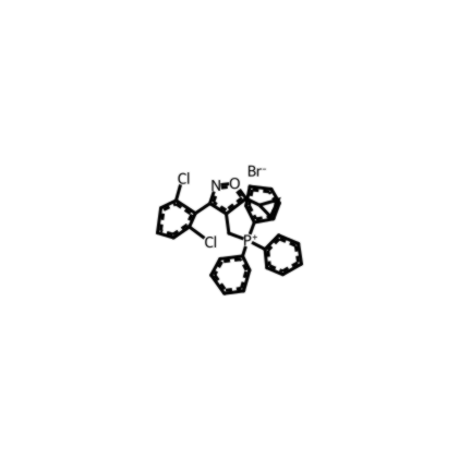 Clc1cccc(Cl)c1-c1noc(C2CC2)c1C[P+](c1ccccc1)(c1ccccc1)c1ccccc1.[Br-]